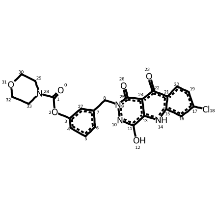 O=C(Oc1cccc(Cn2nc(O)c3[nH]c4cc(Cl)ccc4c(=O)c3c2=O)c1)N1CCOCC1